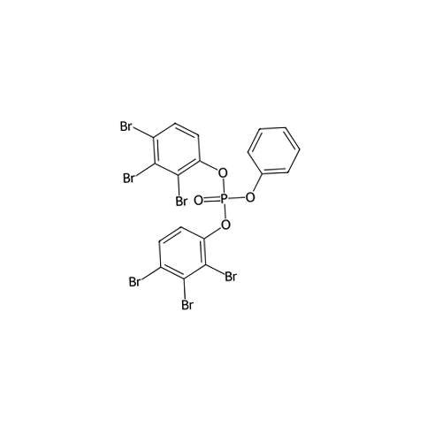 O=P(Oc1ccccc1)(Oc1ccc(Br)c(Br)c1Br)Oc1ccc(Br)c(Br)c1Br